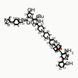 Cc1ncsc1-c1ccc(CNC(=O)[C@@H]2C[C@@H](O)CN2C(=O)[C@@H](NC(=O)C2CCN(C3CCN(c4cnc(C56CC7CC5C(CN(c5cc(-c8ccccc8O)nnc5N)C7)C6)nc4)CC3)CC2)C(C)(C)C)cc1